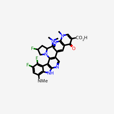 CNc1cc(F)c(F)c2c1[nH]c1ncc(-c3cnc4c(c3)c(=O)c(C(=O)O)cn4C)c(N3CC(F)CC3CN(C)C)c12